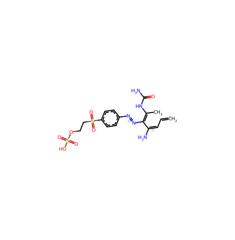 C=C/C=C(/N)C(/N=N/c1ccc(S(=O)(=O)CCOS(=O)(=O)O)cc1)=C(C)NC(N)=O